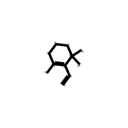 C=CC1=C(C)CCCC1(C)C